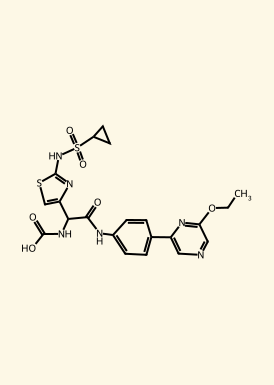 CCOc1cncc(-c2ccc(NC(=O)C(NC(=O)O)c3csc(NS(=O)(=O)C4CC4)n3)cc2)n1